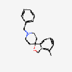 Cc1cccc2c1COC21CCN(Cc2ccccc2)CC1